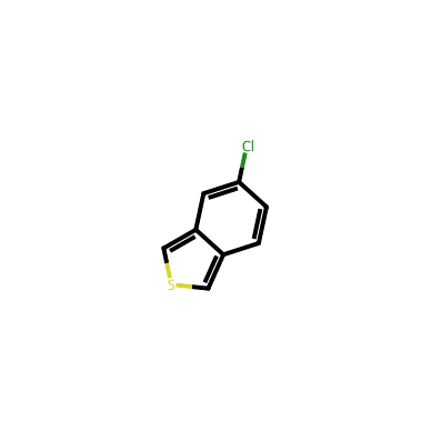 Clc1ccc2cscc2c1